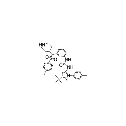 Cc1ccc(-n2nc(C(C)(C)C)cc2NC(=O)Nc2cccc(C(C3CCNCC3)S(=O)(=O)c3ccc(C)cc3)c2)cc1